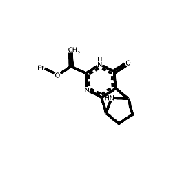 C=C(OCC)c1nc2c(c(=O)[nH]1)C1CCC2N1